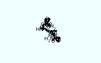 CCCc1cn(COCCc2c[nH]nc2C(=O)Nc2sc3c(c2C(N)=O)CC(C)(C)OC3(C)C)nc1C(=O)Nc1sc2c(c1C(N)=O)CC(C)(C)OC2(C)C